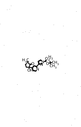 CN1CCC(O)(c2ccnc(-c3ccn(C(=O)OC(C)(C)C)n3)c2)C1=O